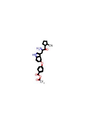 N#CC1CCCC1C(=O)C(N)Cc1c[nH]c2ccc(Oc3ccc(C(=O)OC(=O)C(F)(F)F)cc3)cc12